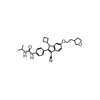 CC(C)NC(=O)Nc1ccc(C2=C(C#N)c3ccc(OCCC4CCOC4)cc3C2C2CCC2)cc1